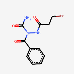 NC(=O)N(NC(=O)CCBr)C(=O)c1ccccc1